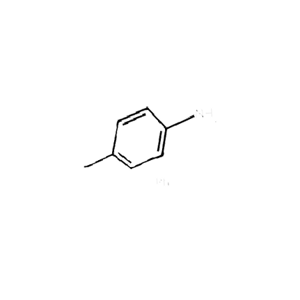 Cc1ccc(N)cc1.[Rh]